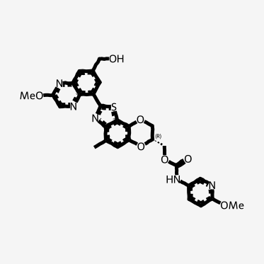 COc1ccc(NC(=O)OC[C@H]2COc3c(cc(C)c4nc(-c5cc(CO)cc6nc(OC)cnc56)sc34)O2)cn1